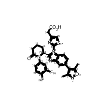 Cc1noc(C)c1-c1ccc2c(c1)nc([C@@H]1CCCC(=O)N1c1ccc(F)c(F)c1)n2-c1nc(CC(=O)O)cs1